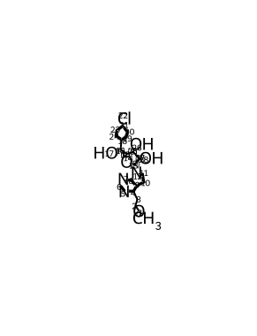 COCCc1ncnc2c1ccn2[C@@H]1O[C@H]([C@H](O)c2ccc(Cl)cc2)[C@@H](O)[C@H]1O